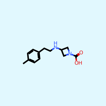 Cc1ccc(CCNC2CN(C(=O)O)C2)cc1